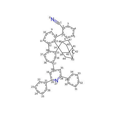 N#Cc1ccccc1-c1cccc2c1C1(c3cc(-c4cc(-c5ccccc5)nc(-c5ccccc5)c4)ccc3-2)C2CC3CC(C2)CC1C3